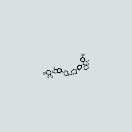 C[C@H]1OC2(CCCCC2)[C@@H](c2ccc(N3CCC(CN4CCN(c5ccc6c(c5)CN([C@H]5CCC(=O)NC5=O)C6=O)CC4)CC3)cc2)c2ccc(O)cc21